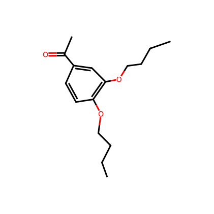 CCCCOc1ccc(C(C)=O)cc1OCCCC